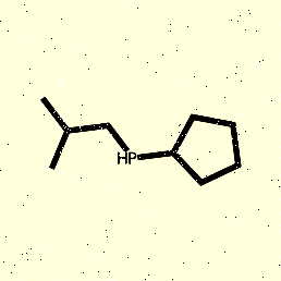 CC(C)CPC1CCCC1